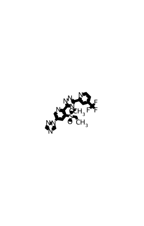 CCS(=O)(=O)c1cc(-n2cncn2)cnc1-c1nnc(-c2cc(C(F)(F)F)ccn2)n1C